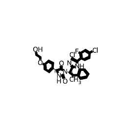 C[C@@H](c1ccccc1)[C@@H](c1nc(Cl)c(-c2ccc(Cl)cc2F)[nH]1)N1C(=O)N[C@H](c2ccc(OCCO)cc2)C1=O